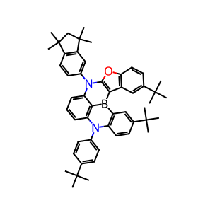 CC(C)(C)c1ccc(N2c3ccc(C(C)(C)C)cc3B3c4c2cccc4N(c2ccc4c(c2)C(C)(C)CC4(C)C)c2oc4ccc(C(C)(C)C)cc4c23)cc1